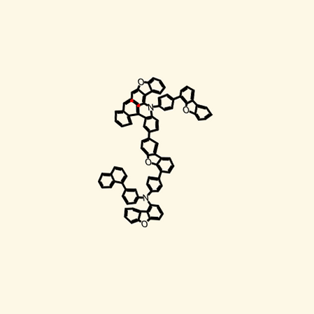 c1cc(-c2cccc3ccccc23)cc(N(c2ccc(-c3cccc4c3oc3ccc(-c5ccc(N(c6ccc(-c7cccc8c7oc7ccccc78)cc6)c6cccc7oc8ccccc8c67)c(-c6cccc7ccccc67)c5)cc34)cc2)c2cccc3oc4ccccc4c23)c1